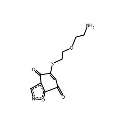 NCCOCCSC1=CC(=O)c2oncc2C1=O